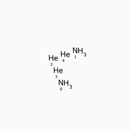 N.N.[He].[He].[He]